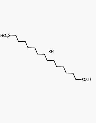 O=S(=O)(O)CCCCCCCCCCCCCCS(=O)(=O)O.[KH]